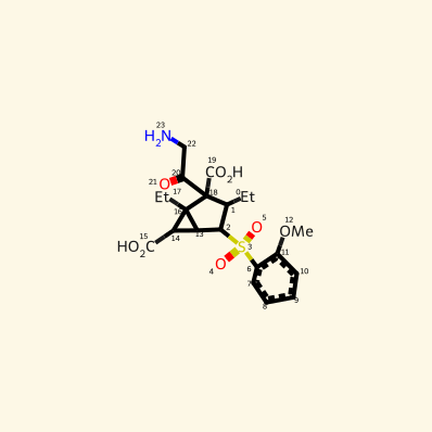 CCC1C(S(=O)(=O)c2ccccc2OC)C2C(C(=O)O)C2(CC)C1(C(=O)O)C(=O)CN